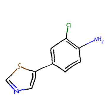 Nc1ccc(-c2cncs2)cc1Cl